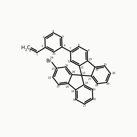 C=Cc1cccc(-c2ccc3c(c2)C2(c4ccccc4-c4ccc(Br)cc42)c2ccccc2-3)c1